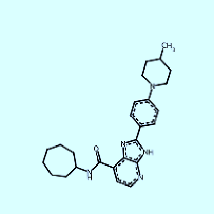 CC1CCN(c2ccc(-c3nc4c(C(=O)NC5CCCCCC5)ccnc4[nH]3)cc2)CC1